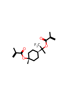 C=C(C)C(=O)OC(C)([C@H]1CC[C@](C)(OC(=O)C(=C)C)CC1)C(F)(F)F